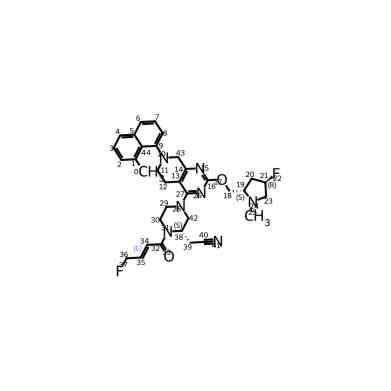 Cc1cccc2cccc(N3CCc4c(nc(OC[C@@H]5C[C@@H](F)CN5C)nc4N4CCN(C(=O)/C=C/CF)[C@@H](CC#N)C4)C3)c12